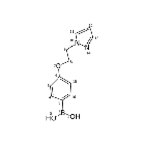 OB(O)c1ccc(OCCn2cccn2)cc1